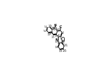 Fc1cc2c(c3c1N(F)c1ccccc1C=3)=Nc1ccccc1O2